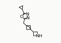 C1CC1c1nnc(CC23CC(C4CNC4)(C2)C3)o1